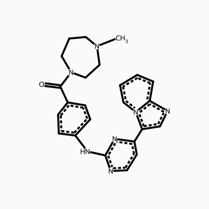 CN1CCCN(C(=O)c2ccc(Nc3nccc(-c4cnc5ccccn45)n3)cc2)CC1